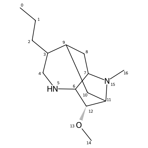 CCCC1CNC2C3CC1CC([C@@H]2OC)N3C